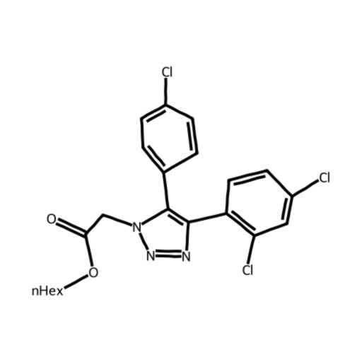 CCCCCCOC(=O)Cn1nnc(-c2ccc(Cl)cc2Cl)c1-c1ccc(Cl)cc1